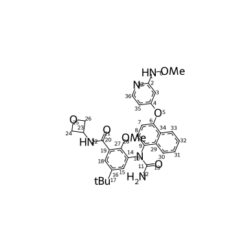 CONc1cc(Oc2ccc(N(C(N)=O)c3cc(C(C)(C)C)cc(C(=O)NC4COC4)c3OC)c3ccccc23)ccn1